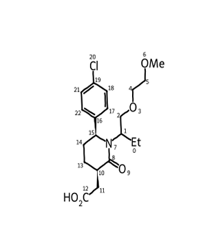 CCC(COCCOC)N1C(=O)[C@@H](CC(=O)O)CC[C@H]1c1ccc(Cl)cc1